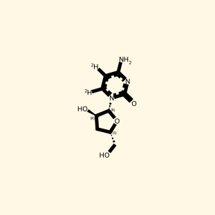 [2H]c1c(N)nc(=O)n([C@@H]2O[C@H](CO)C[C@H]2O)c1[2H]